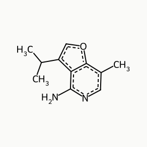 Cc1cnc(N)c2c(C(C)C)coc12